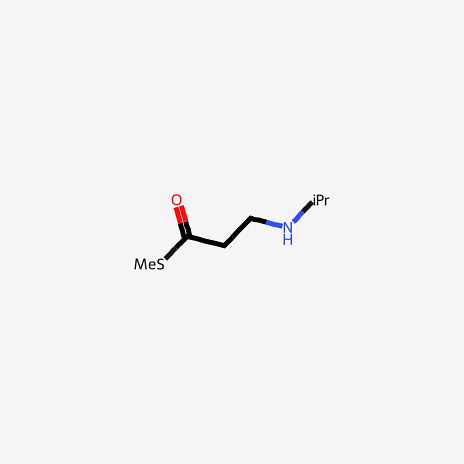 CSC(=O)CCNC(C)C